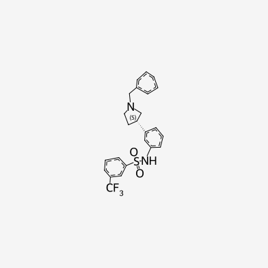 O=S(=O)(Nc1cccc([C@@H]2CCN(Cc3ccccc3)C2)c1)c1cccc(C(F)(F)F)c1